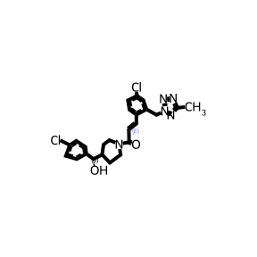 Cc1nnn(Cc2cc(Cl)ccc2/C=C/C(=O)N2CCC([C@H](O)c3ccc(Cl)cc3)CC2)n1